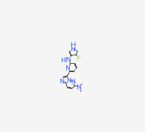 CN(C)c1ccc2ncc(-c3cccc(NC4CNCC4F)n3)n2n1